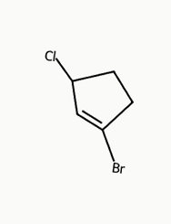 ClC1C=C(Br)CC1